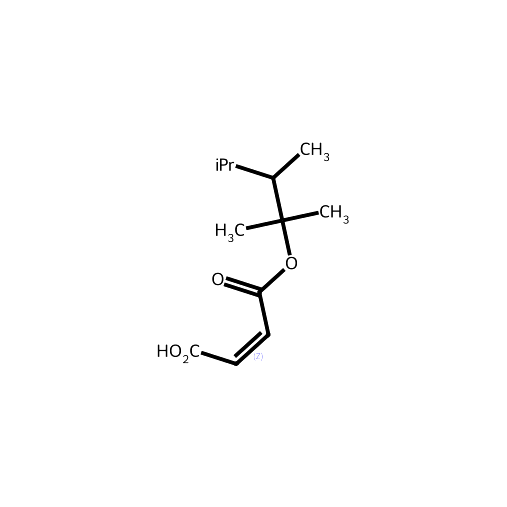 CC(C)C(C)C(C)(C)OC(=O)/C=C\C(=O)O